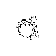 NC(=O)C[C@@H]1NC(=O)N[C@H](CO)C(=O)NCCOCCOCC(=O)N[C@@H](CO)C(=O)NNC1=O